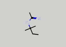 CCC(C)(C)NC(C)=N